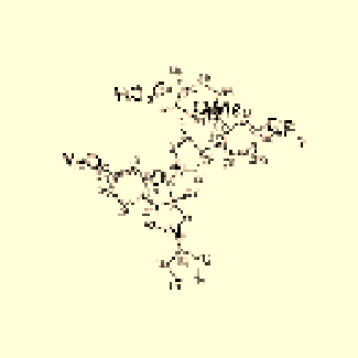 COC[C@H]1CN(C(=O)[C@]2(F)CN(C3CCCC3)C[C@H]2c2ccc(OC)cc2)C[C@@H]1c1ccc(C(F)(F)F)cc1N1CCC(C)(C(=O)O)CC1